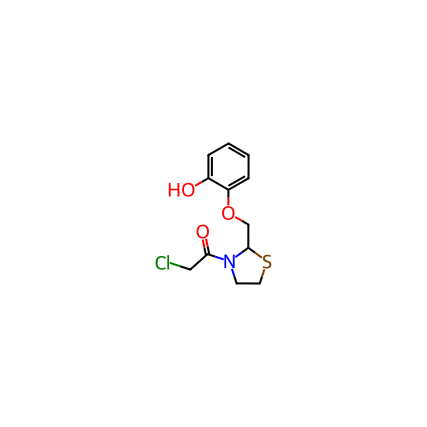 O=C(CCl)N1CCSC1COc1ccccc1O